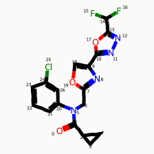 O=C(C1CC1)N(Cc1nc(-c2nnc(C(F)F)o2)co1)c1cccc(Cl)c1